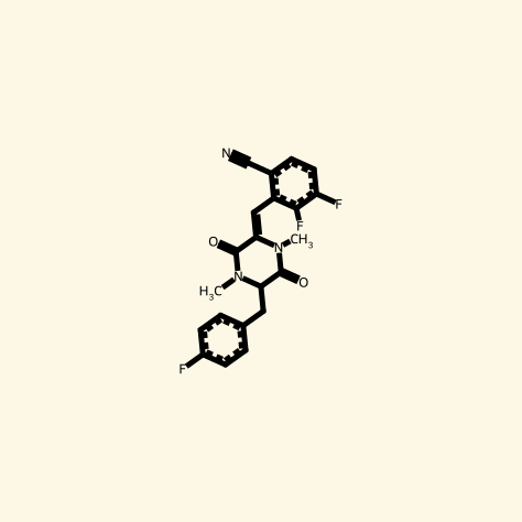 CN1C(=O)C(Cc2ccc(F)cc2)N(C)C(=O)C1=Cc1c(C#N)ccc(F)c1F